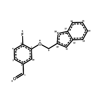 O=Cc1ccc(F)c(OCc2cc3ccccc3s2)c1